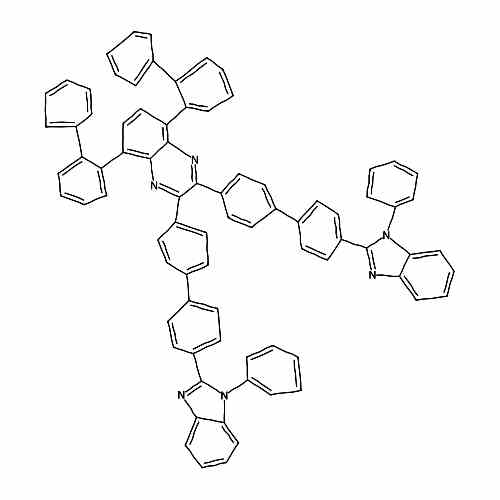 c1ccc(-c2ccccc2-c2ccc(-c3ccccc3-c3ccccc3)c3nc(-c4ccc(-c5ccc(-c6nc7ccccc7n6-c6ccccc6)cc5)cc4)c(-c4ccc(-c5ccc(-c6nc7ccccc7n6-c6ccccc6)cc5)cc4)nc23)cc1